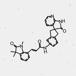 CN1C(=O)C(C)(C)c2cccc(/C=C/C(=O)Nc3ccc4c(c3)CC3(C4)C(=O)Nc4ncccc43)c21